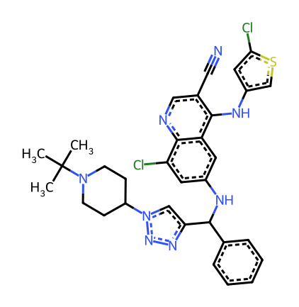 CC(C)(C)N1CCC(n2cc(C(Nc3cc(Cl)c4ncc(C#N)c(Nc5csc(Cl)c5)c4c3)c3ccccc3)nn2)CC1